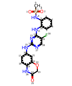 CS(=O)(=O)Nc1ccccc1Nc1nc(Nc2ccc3c(c2)OCC(=O)N3)ncc1F